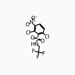 O=[N+]([O-])c1ccc(Cl)c(S(=O)(=O)NCC(F)(F)F)c1Cl